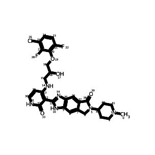 CN1CCC(N2Cc3cc4[nH]c(-c5c(NCC(O)COc6c(F)ccc(Cl)c6F)cc[nH]c5=O)nc4cc3C2=O)CC1